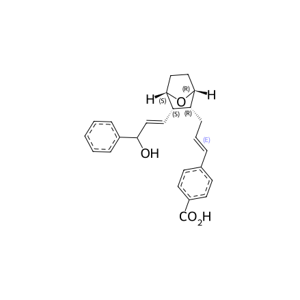 O=C(O)c1ccc(/C=C/C[C@@H]2[C@H](C=CC(O)c3ccccc3)[C@@H]3CC[C@H]2O3)cc1